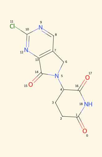 O=C1CCC(N2Cc3cnc(Cl)nc3C2=O)C(=O)N1